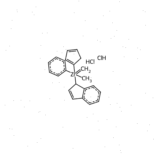 Cl.Cl.[CH2]=[Zr]([CH3])([C]1=CC=CC1)([c]1ccccc1)[CH]1C=Cc2ccccc21